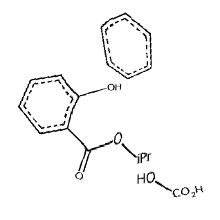 CC(C)OC(=O)c1ccccc1O.O=C(O)O.c1ccccc1